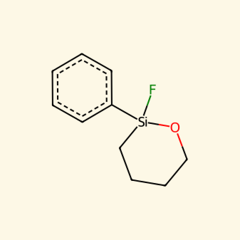 F[Si]1(c2ccccc2)CCCCO1